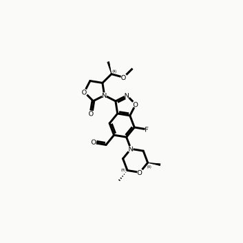 CO[C@H](C)C1COC(=O)N1c1noc2c(F)c(N3C[C@@H](C)O[C@H](C)C3)c(C=O)cc12